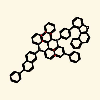 c1ccc(-c2cccc(N(c3ccc(-c4cccc5oc6ccc7ccccc7c6c45)cc3)c3ccccc3-c3ccccc3N(c3cccc(-c4ccccc4)c3)c3ccc4cc(-c5ccccc5)ccc4c3)c2)cc1